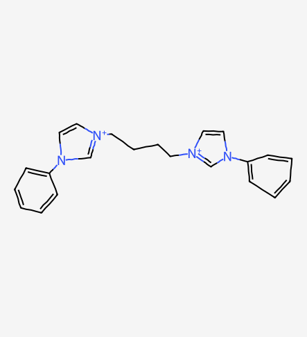 c1ccc(-n2cc[n+](CCCC[n+]3ccn(-c4ccccc4)c3)c2)cc1